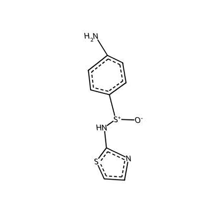 Nc1ccc([S+]([O-])Nc2nccs2)cc1